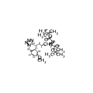 C=CCCc1nnnn1Cc1ccc(OC)cc1.CC(C)(C)OC(=O)N=NC(=O)OC(C)(C)C